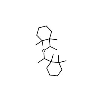 CC(OC(C)C1(C)CCCCC1(C)C)C1(C)CCCCC1(C)C